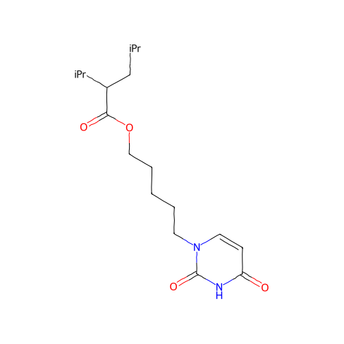 CC(C)CC(C(=O)OCCCCCn1ccc(=O)[nH]c1=O)C(C)C